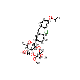 CCOc1ccc(Cc2cc([C@@H]3O[C@H](C)[C@@H](O)[C@@H]4OC(C)(OC)C(C)(OC)O[C@H]43)ccc2Cl)cc1